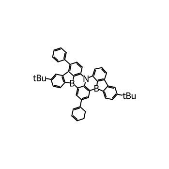 CC(C)(C)c1ccc2c(c1)-c1cccc3c1B2c1cc(C2=CC=CCC2)cc2c1N3c1ccc(-c3ccccc3)c3c1B2c1ccc(C(C)(C)C)cc1-3